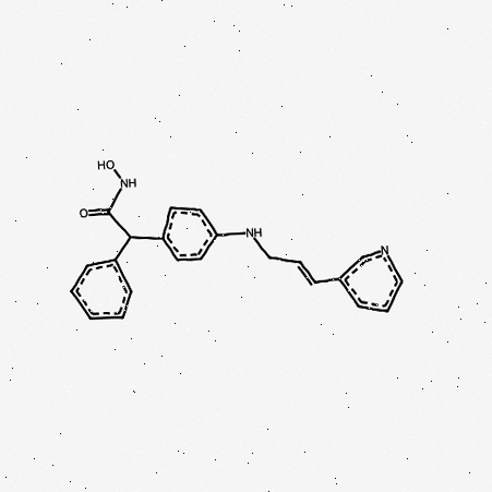 O=C(NO)C(c1ccccc1)c1ccc(NCC=Cc2cccnc2)cc1